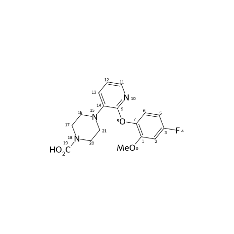 COc1cc(F)ccc1Oc1ncccc1N1CCN(C(=O)O)CC1